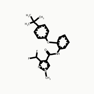 Cn1cc(C(=O)Nc2ccccc2Oc2ccc(C(C)(C)C)cc2)c(C(F)F)n1